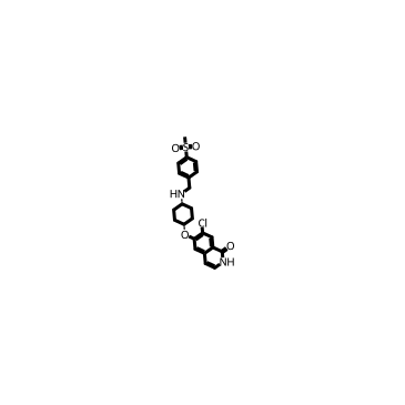 CS(=O)(=O)c1ccc(CN[C@H]2CC[C@@H](Oc3cc4cc[nH]c(=O)c4cc3Cl)CC2)cc1